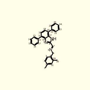 Cc1ccc(C/N=C/c2nc3c(-c4ccccc4)ccc(-c4ccccc4)c3[nH]2)c(C)c1